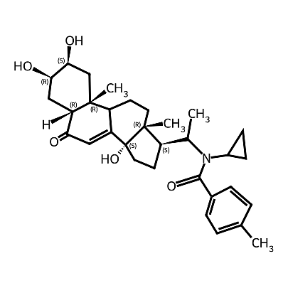 Cc1ccc(C(=O)N(C2CC2)C(C)[C@H]2CC[C@@]3(O)C4=CC(=O)[C@@H]5C[C@@H](O)[C@@H](O)C[C@]5(C)C4CC[C@]23C)cc1